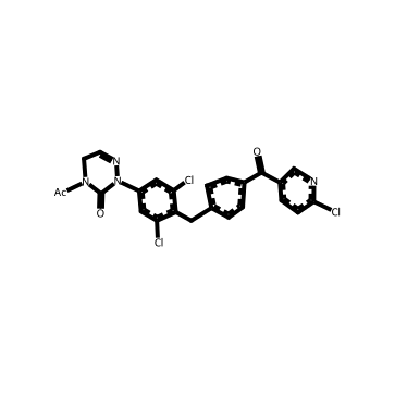 CC(=O)N1CC=NN(c2cc(Cl)c(Cc3ccc(C(=O)c4ccc(Cl)nc4)cc3)c(Cl)c2)C1=O